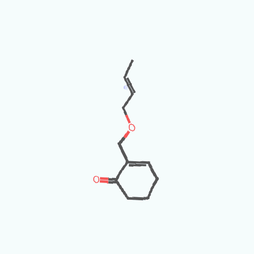 C/C=C/COCC1=CCCCC1=O